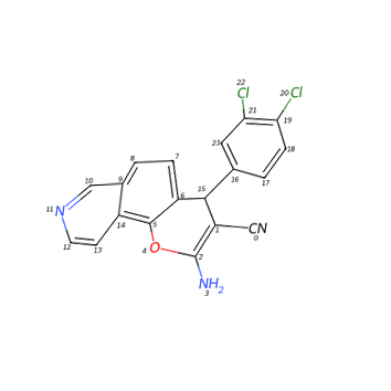 N#CC1=C(N)Oc2c(ccc3cnccc23)C1c1ccc(Cl)c(Cl)c1